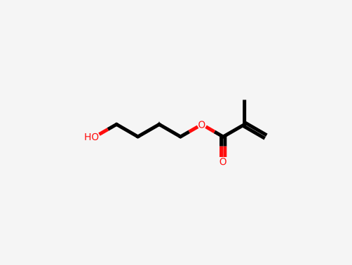 C=C(C)C(=O)OC[CH]CCO